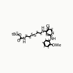 COc1ccccc1Nc1ncc(Cl)c(NCCSSCCNC(=O)OC(C)(C)C)n1